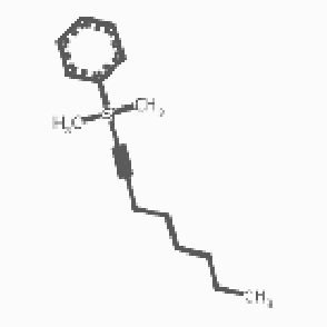 CCCCCCC#C[Si](C)(C)c1ccccc1